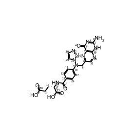 Nc1nc(=O)c2nc(CN(c3ccc(C(=O)N[C@@H](CCC(=O)O)C(=O)O)cc3)n3ccnn3)cnc2[nH]1